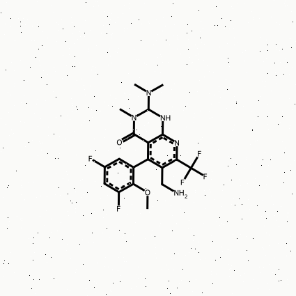 COc1c(F)cc(F)cc1-c1c(CN)c(C(F)(F)F)nc2c1C(=O)N(C)C(N(C)C)N2